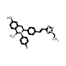 CCn1nnc(/C=C/c2ccc(C3Cc4cc(O)ccc4C(C)N3c3ccc(F)cc3)cc2)n1